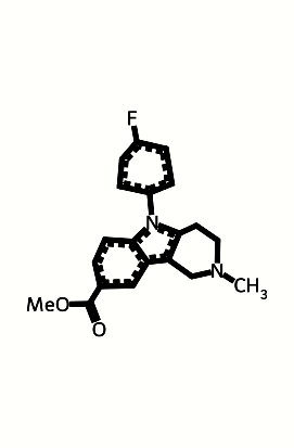 COC(=O)c1ccc2c(c1)c1c(n2-c2ccc(F)cc2)CCN(C)C1